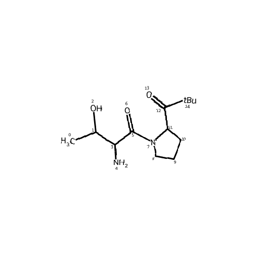 CC(O)C(N)C(=O)N1CCCC1C(=O)C(C)(C)C